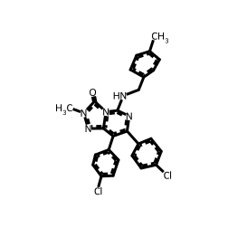 Cc1ccc(CNc2nc(-c3ccc(Cl)cc3)c(-c3ccc(Cl)cc3)c3nn(C)c(=O)n23)cc1